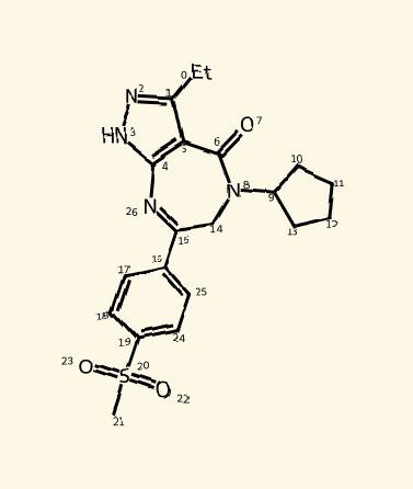 CCc1n[nH]c2c1C(=O)N(C1CCCC1)CC(c1ccc(S(C)(=O)=O)cc1)=N2